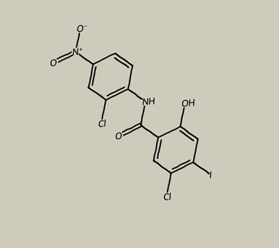 O=C(Nc1ccc([N+](=O)[O-])cc1Cl)c1cc(Cl)c(I)cc1O